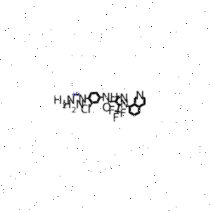 N/C=C\N(N)c1ccc(NC(=O)c2cnn(-c3cccc4ccncc34)c2C(F)(F)F)cc1Cl